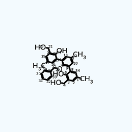 Cc1cc(CO)c(O)c(-c2cc(C)cc(-c3cc(C)cc(CO)c3O)c2OCc2ccccc2)c1